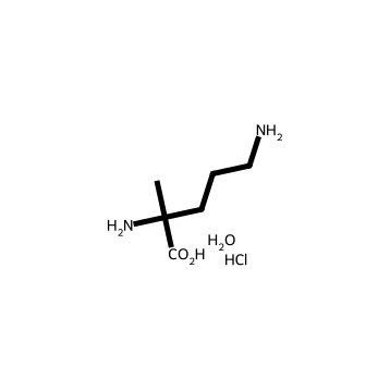 CC(N)(CCCN)C(=O)O.Cl.O